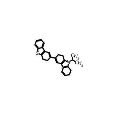 CC(C)n1c2c(c3c1CCC(C1=Cc4c(sc5ccccc45)CC1)=C3)C=CCC2